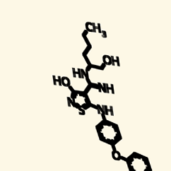 CCCCC(CO)NC(=N)c1c(O)nsc1Nc1ccc(Oc2ccccc2)cc1